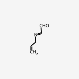 C=CCN=CC=O